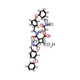 CCCN(Cc1ccc(Oc2ccccc2)cc1)C(=O)C1C(C(=O)O)C(C(=O)OCC(=O)N(CC)CC)C1C(=O)N(CCC)Cc1ccc(Oc2ccccc2)cc1